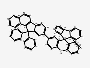 c1ccc(C2(c3ccccc3)c3cc(-c4ccc5c(c4)C4(c6ccccc6-c6ccccc64)c4c(ccc6ccccc46)O5)ccc3-c3ccc4ccccc4c32)cc1